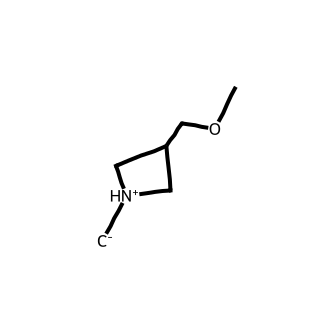 [CH2-][NH+]1CC(COC)C1